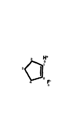 C1=CCCC1.[F-].[H+]